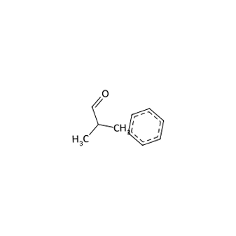 CC(C)C=O.c1ccccc1